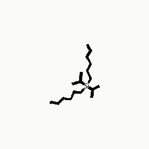 CCCCCC[Si](CCCCCC)(C(C)C)C(C)C